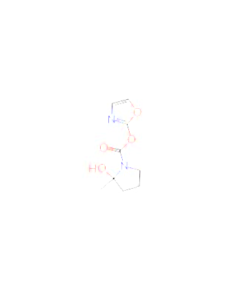 CC1(O)CCCN1C(=O)Oc1ncco1